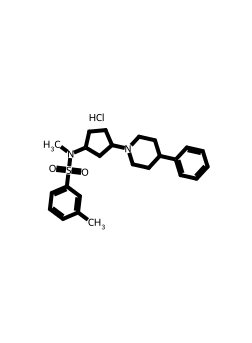 Cc1cccc(S(=O)(=O)N(C)C2CCC(N3CCC(c4ccccc4)CC3)C2)c1.Cl